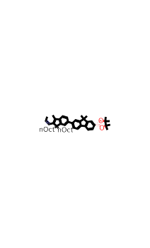 C/C=C\C1=C(C)c2ccc(-c3ccc4c(c3)C(C)(C)c3cc(B5OC(C)(C)C(C)(C)O5)ccc3-4)cc2C1(CCCCCCCC)CCCCCCCC